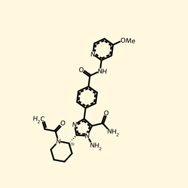 C=CC(=O)N1CCCC[C@H]1c1nc(-c2ccc(C(=O)Nc3cc(OC)ccn3)cc2)c(C(N)=O)n1N